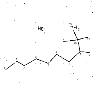 Br.CCCCCCCC(C)C(C)(C)P